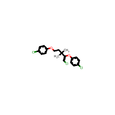 CC(C)(CCOc1ccc(Cl)cc1)C(=CCl)Oc1ccc(Cl)cc1